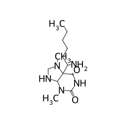 CCCCCC(N)C12C(=O)NC(=O)N(C)C1NCN2C